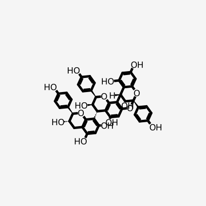 Oc1ccc([C@H]2Oc3c4c(cc(O)c3[C@H](c3c(O)cc(O)c5c3O[C@H](c3ccc(O)cc3)[C@@H](O)C5)[C@H]2O)O[C@@]2(c3ccc(O)cc3)Oc3cc(O)cc(O)c3[C@@H]4C2O)cc1